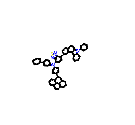 C1=Cc2ccc3cccc4c3c2C(=CC4c2ccc(N(c3ccc(-c4ccccc4)cc3)c3ccc(-c4ccc5ccc6c(c5c4)c4ccccc4n6-c4ccccc4)c4nsnc34)cc2)C1